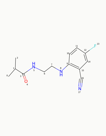 CC(C)C(=O)NCCNc1ccc(F)cc1C#N